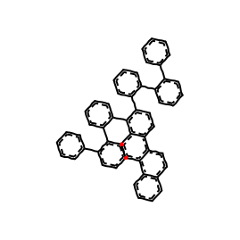 c1ccc(-c2ccccc2-c2ccccc2-c2ccc3c(ccc4c5ccccc5ccc34)c2-c2ccccc2-c2ccccc2-c2ccccc2)cc1